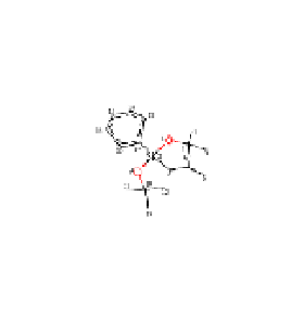 CCC[Si](OC(C)(C)C)(OC(C)(C)C)c1ccccc1